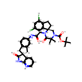 CC(C)(C)OC(=O)N1C[C@@]2(CCc3c(F)cc(F)cc32)N(CC(=O)Nc2ccc3c(c2)C[C@@]2(C3)C(=O)Nc3ncccc32)C(=O)C1(C)C